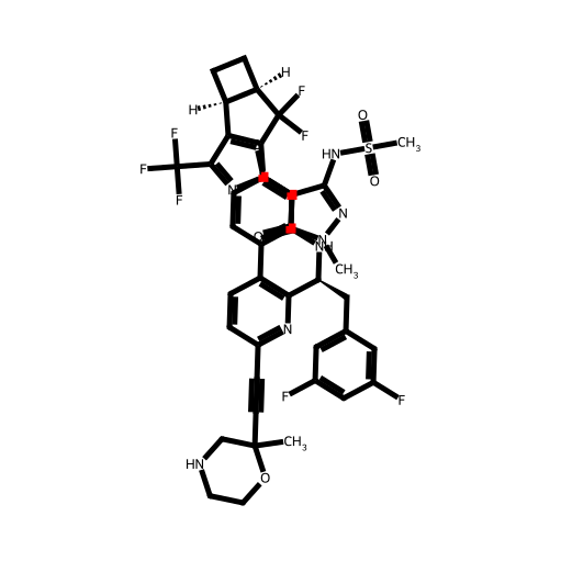 Cn1nc(NS(C)(=O)=O)c2c(Cl)ccc(-c3ccc(C#CC4(C)CNCCO4)nc3[C@H](Cc3cc(F)cc(F)c3)NC(=O)Cn3nc(C(F)(F)F)c4c3C(F)(F)[C@@H]3CC[C@H]43)c21